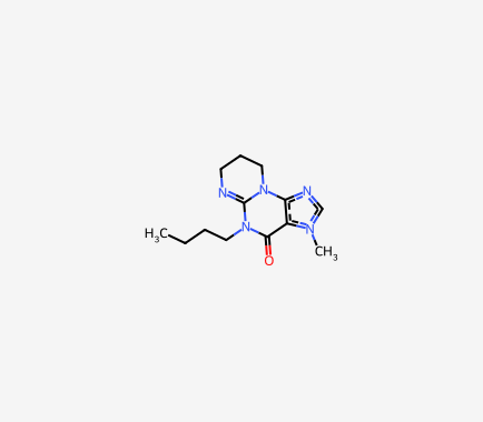 CCCCN1C(=O)c2c(ncn2C)N2CCCN=C12